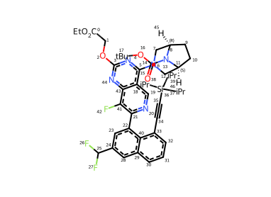 CCOC(=O)COc1nc(N2C[C@H]3CC[C@@H](C2)N3C(=O)OC(C)(C)C)c2cnc(-c3cc(C(F)F)cc4cccc(C#C[Si](C(C)C)(C(C)C)C(C)C)c34)c(F)c2n1